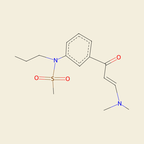 CCCN(c1cccc(C(=O)C=CN(C)C)c1)S(C)(=O)=O